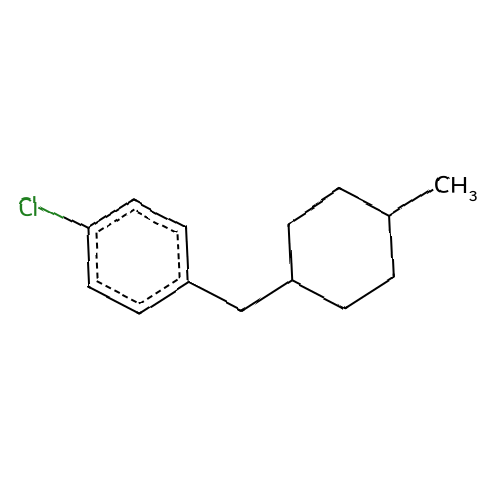 CC1CCC(Cc2ccc(Cl)cc2)CC1